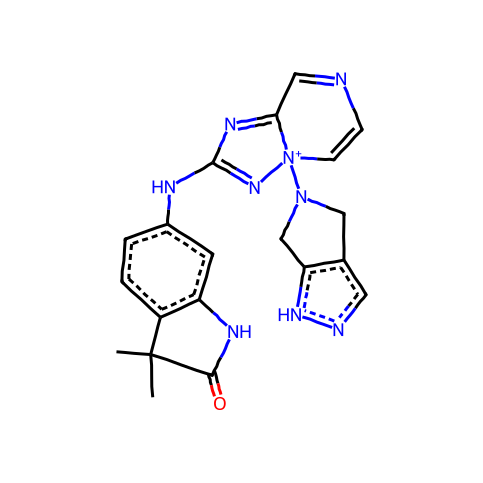 CC1(C)C(=O)Nc2cc(NC3=N[N+]4(N5Cc6cn[nH]c6C5)C=CN=CC4=N3)ccc21